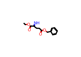 CCOC(=O)C(=N)CCC(=O)OCc1ccccc1